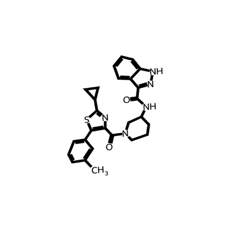 Cc1cccc(-c2sc(C3CC3)nc2C(=O)N2CCCC(NC(=O)c3n[nH]c4ccccc34)C2)c1